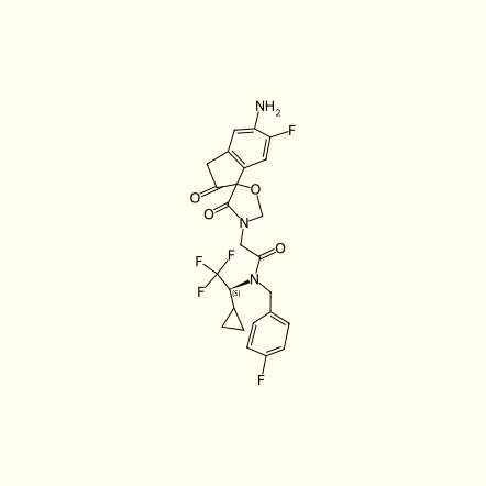 Nc1cc2c(cc1F)C1(OCN(CC(=O)N(Cc3ccc(F)cc3)[C@@H](C3CC3)C(F)(F)F)C1=O)C(=O)C2